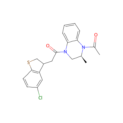 CC(=O)N1c2ccccc2N(C(=O)CC2CSc3ccc(Cl)cc32)C[C@@H]1C